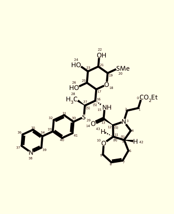 CCOC(=O)CCN1C[C@@H]2CC=CCO[C@H]2[C@H]1C(=O)N[C@@H](C1OC(SC)C(O)C(O)C1O)[C@H](C)Sc1ccc(-c2cccnc2)cc1